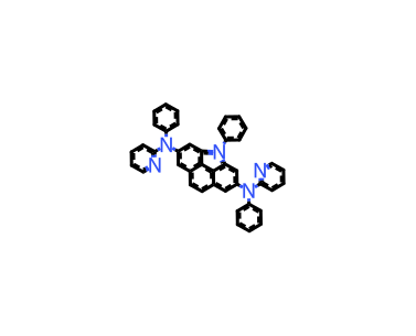 c1ccc(N(c2cc3ccc4cc(N(c5ccccc5)c5ccccn5)cc5c4c3c(c2)n5-c2ccccc2)c2ccccn2)cc1